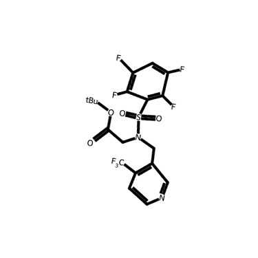 CC(C)(C)OC(=O)CN(Cc1cnccc1C(F)(F)F)S(=O)(=O)c1c(F)c(F)cc(F)c1F